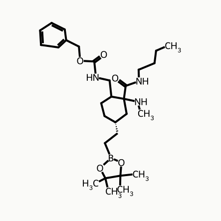 CCCCNC(=O)C1(NC)C[C@H](CCB2OC(C)(C)C(C)(C)O2)CCC1CNC(=O)OCc1ccccc1